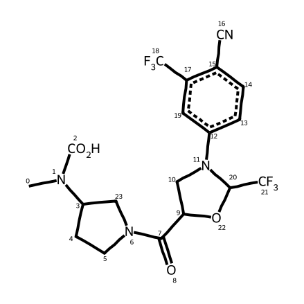 CN(C(=O)O)C1CCN(C(=O)C2CN(c3ccc(C#N)c(C(F)(F)F)c3)C(C(F)(F)F)O2)C1